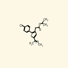 C/N=C(\C)c1cc(CC(=O)OC(C)C)c(-c2ccc(Cl)cc2)s1